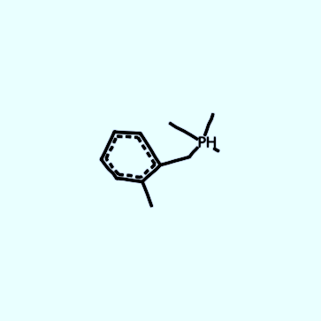 Cc1ccccc1C[PH](C)(C)C